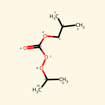 CC(C)COC(=O)OOC(C)C